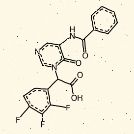 O=C(Nc1cncn(C(C(=O)O)c2ccc(F)c(F)c2F)c1=O)c1ccccc1